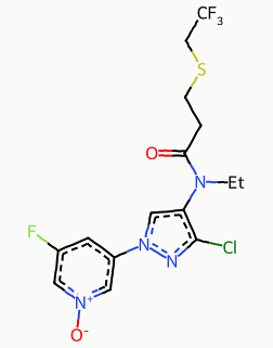 CCN(C(=O)CCSCC(F)(F)F)c1cn(-c2cc(F)c[n+]([O-])c2)nc1Cl